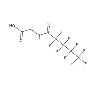 O=C(O)CNC(=O)C(F)(F)C(F)(F)C(F)(F)C(F)(F)F